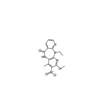 CCN1c2ncccc2C(=O)Nc2c1nc([Se]C)c([N+](=O)[O-])c2C